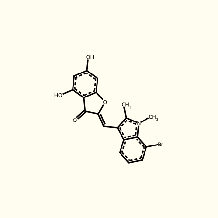 Cc1c(C=C2Oc3cc(O)cc(O)c3C2=O)c2cccc(Br)c2n1C